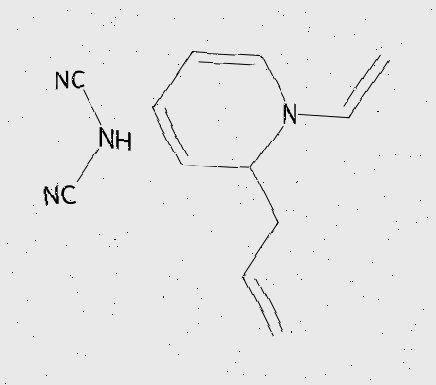 C=CCC1C=CC=CN1C=C.N#CNC#N